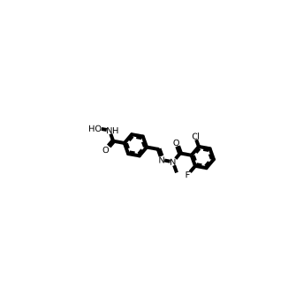 CN(/N=C/c1ccc(C(=O)NO)cc1)C(=O)c1c(F)cccc1Cl